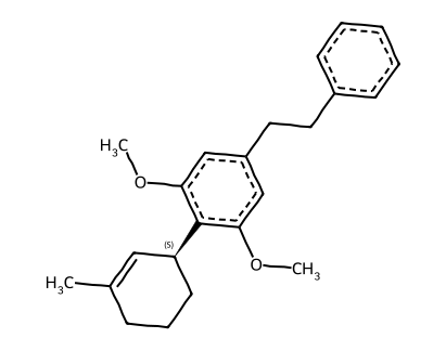 COc1cc(CCc2ccccc2)cc(OC)c1[C@@H]1C=C(C)CCC1